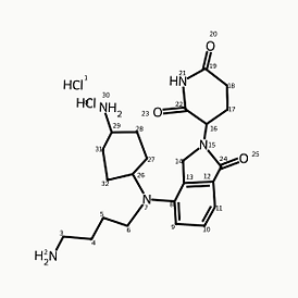 Cl.Cl.NCCCCN(c1cccc2c1CN(C1CCC(=O)NC1=O)C2=O)C1CCC(N)CC1